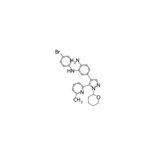 Cc1cccc(-c2c(-c3ccc(N)c(Nc4ccc(Br)cc4)c3)cnn2C2CCCCO2)n1